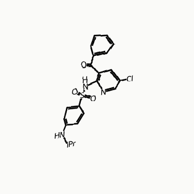 CC(C)Nc1ccc(S(=O)(=O)Nc2ncc(Cl)cc2C(=O)c2ccccc2)cc1